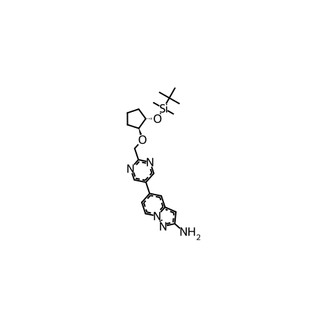 CC(C)(C)[Si](C)(C)O[C@H]1CCC[C@@H]1OCc1ncc(-c2ccn3nc(N)cc3c2)cn1